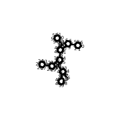 c1ccc(-c2ccc3c(c2)c2cc(-c4ccc5c(c4)c4cc(-c6ccccc6)ccc4n5-c4ccc5sc6ccccc6c5c4)ccc2n3-c2ccccc2)cc1